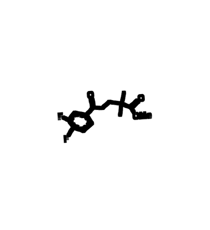 COC(=O)C(C)(C)CCC(=O)c1ccc(F)c(F)c1